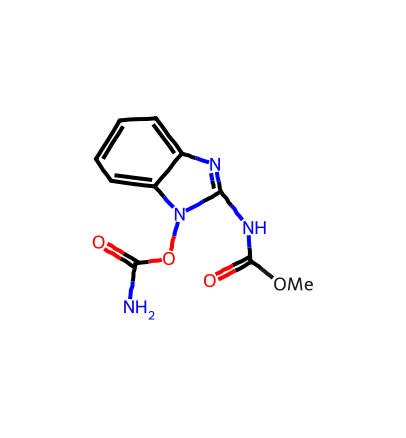 COC(=O)Nc1nc2ccccc2n1OC(N)=O